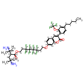 CCCCCc1ccc(-c2cc3ccc(OCCC(F)(F)C(F)(F)C(F)(F)C(F)(F)CCOC(=O)C(CC(C)(C)N)C(C)(C)N)cc3oc2=O)c(OC(F)(F)F)c1